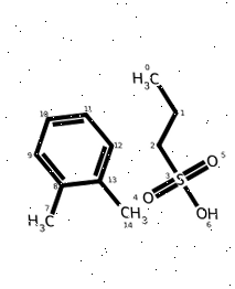 CCCS(=O)(=O)O.Cc1ccccc1C